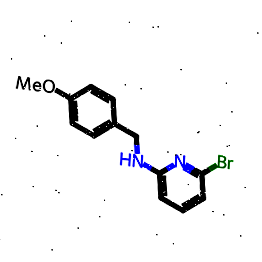 COc1ccc(CNc2cccc(Br)n2)cc1